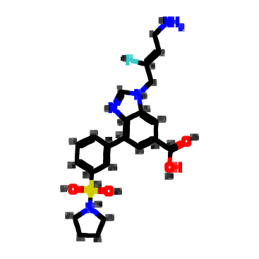 NCC=C(F)Cn1cnc2c(-c3cccc(S(=O)(=O)N4CCCC4)c3)cc(C(=O)O)cc21